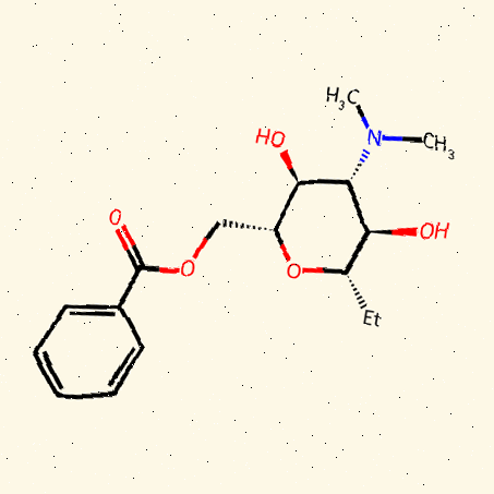 CC[C@@H]1O[C@H](COC(=O)c2ccccc2)[C@@H](O)[C@H](N(C)C)[C@H]1O